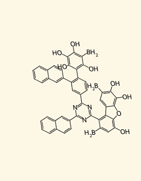 Bc1cc2c(oc3c(O)cc(B)c(-c4nc(-c5ccc(-c6c(O)c(B)c(O)c(O)c6O)c(-c6ccc7ccccc7c6)c5)nc(-c5ccc6ccccc6c5)n4)c32)c(O)c1O